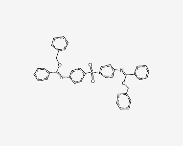 O=S(=O)(c1ccc(/N=C(\OCc2ccccc2)c2ccccc2)cc1)c1ccc(/N=C(\OCc2ccccc2)c2ccccc2)cc1